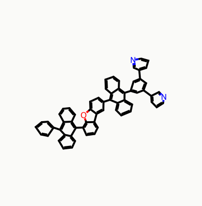 c1ccc(-c2c3ccccc3c(-c3cccc4c3oc3ccc(-c5c6ccccc6c(-c6cc(-c7cccnc7)cc(-c7cccnc7)c6)c6ccccc56)cc34)c3ccccc23)cc1